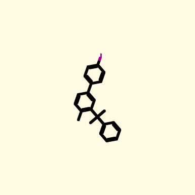 Cc1ccc(-c2ccc(I)cc2)cc1C(C)(C)c1ccccc1